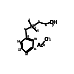 CC(=O)[O-].C[N+](C)(CCO)Cc1ccccc1